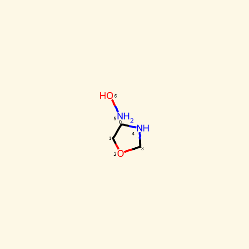 C1COCN1.NO